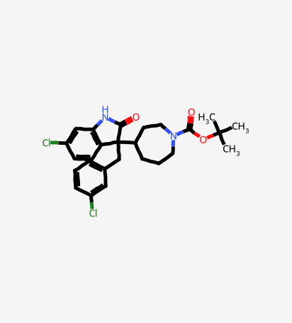 CC(C)(C)OC(=O)N1CCCC(C2(Cc3cccc(Cl)c3)C(=O)Nc3cc(Cl)ccc32)CC1